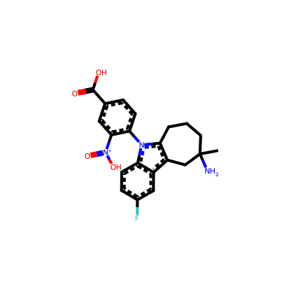 CC1(N)CCCc2c(c3cc(F)ccc3n2-c2ccc(C(=O)O)cc2[N+](=O)O)C1